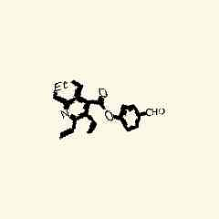 C=Cc1nc(=C/CC)/c(=C\C)c(C(=O)Oc2ccc(C=O)cc2)c1C=C